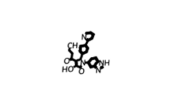 CCCC(=O)C1=C(O)C(=O)N(c2ccc3[nH]cnc3c2)C1c1ccc(-c2ccccn2)cc1